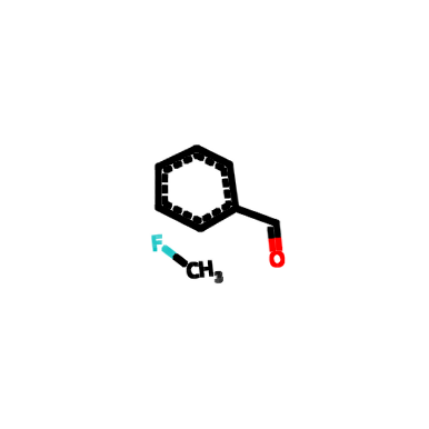 CF.O=Cc1ccccc1